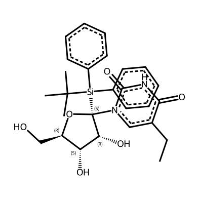 CCc1cn([C@]2([Si](c3ccccc3)(c3ccccc3)C(C)(C)C)O[C@H](CO)[C@@H](O)[C@H]2O)c(=O)[nH]c1=O